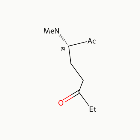 CCC(=O)CC[C@H](NC)C(C)=O